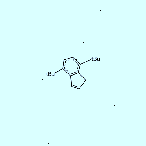 CC(C)(C)c1ccc(C(C)(C)C)c2c1[CH]C=C2